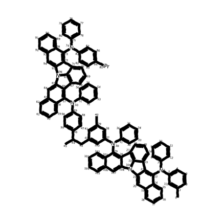 Cc1cccc(N(c2ccccc2)c2c3ccccc3cc3c2c2cccc4c5c(N(c6ccccc6)c6cc(C)cc(CC(C)c7ccc(N(c8ccccc8)c8c9ccccc9cc9c8c8cccc%10c%11c(N(c%12ccccc%12)c%12ccc(C(C)C)cc%12)c%12ccccc%12cc%11n9c%108)cc7)c6)c6ccccc6cc5n3c24)c1